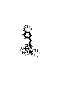 COc1ccc(CC=CP(C(C)(C)C)C(C)(C)C)cc1